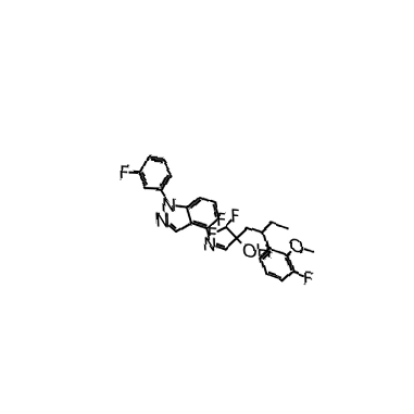 CCC(CC(O)(/C=N\c1cccc2c1cnn2-c1cccc(F)c1)C(F)(F)F)c1cccc(F)c1OC